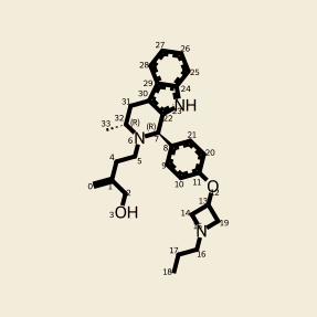 C=C(CO)CCN1[C@H](c2ccc(OC3CN(CCC)C3)cc2)c2[nH]c3ccccc3c2C[C@H]1C